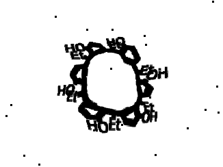 CCC1c2ccc(O)c(c2)C(CC)c2ccc(O)c(c2)C(CC)c2ccc(O)c(c2)C(CC)c2ccc(O)c(c2)C(CC)c2ccc(O)c(c2)C(CC)c2ccc(O)c1c2